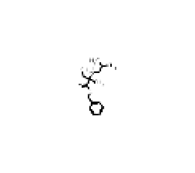 CCC(C)(NCC(C)C)C(=O)OCc1ccccc1